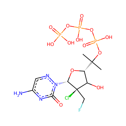 CC(C)(OP(=O)(O)OP(=O)(O)OP(=O)(O)O)[C@H]1O[C@@H](n2ncc(N)nc2=O)[C@@](Cl)(CF)C1O